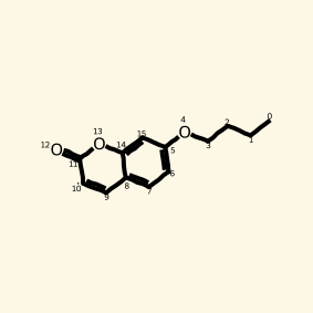 CCCCOc1ccc2c[c]c(=O)oc2c1